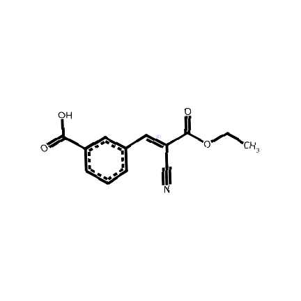 CCOC(=O)/C(C#N)=C/c1cccc(C(=O)O)c1